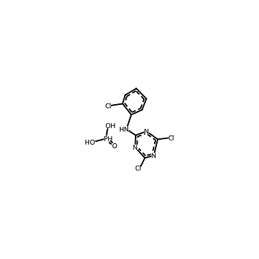 Clc1nc(Cl)nc(Nc2ccccc2Cl)n1.O=[PH](O)O